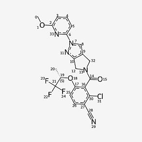 COc1cccc(-n2cc3c(n2)CN(C(=O)c2c(O[C@@H](C)C(F)(F)F)ccc(C#N)c2Cl)C3)n1